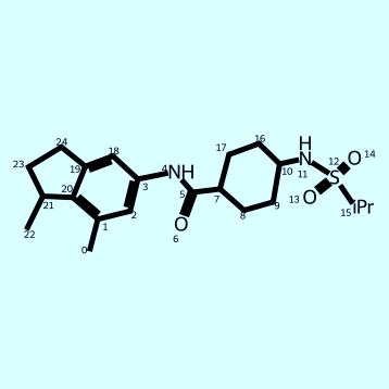 Cc1cc(NC(=O)C2CCC(NS(=O)(=O)C(C)C)CC2)cc2c1C(C)CC2